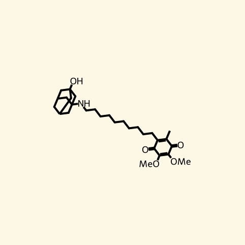 COC1=C(OC)C(=O)C(CCCCCCCCCCNC23CC4CC(CC(O)(C4)C2)C3)=C(C)C1=O